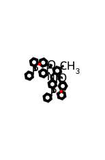 Cc1cc2c3c(c1)P(=O)(c1ccccc1)c1cc(P(c4ccccc4)c4ccccc4)ccc1N3c1ccc(P(c3ccccc3)c3ccccc3)cc1P2(=O)c1ccccc1